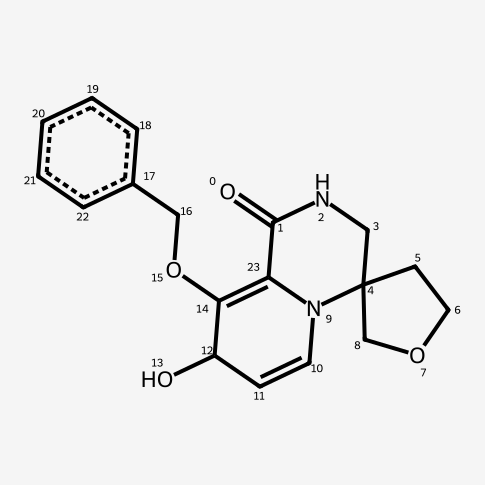 O=C1NCC2(CCOC2)N2C=CC(O)C(OCc3ccccc3)=C12